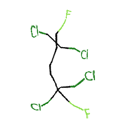 FC(Cl)(Cl)CC(F)(Cl)Cl